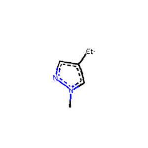 C[CH]c1cnn(C)c1